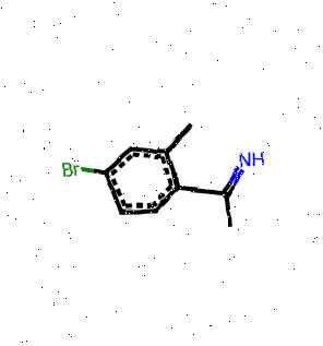 CC(=N)c1ccc(Br)cc1C